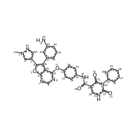 Cn1cc(-c2oc3ncnc(Oc4ccc(NC(=O)c5c[nH]c(=O)n(-c6ccccn6)c5=O)cc4)c3c2-c2cccc(N)c2)cn1